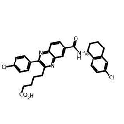 O=C(O)CCCCc1nc2cc(C(=O)N[C@@H]3CCCc4cc(Cl)ccc43)ccc2nc1-c1ccc(Cl)cc1